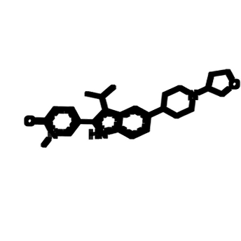 CC(C)c1c(-c2ccc(=O)n(C)c2)[nH]c2ccc(C3CCN(C4CCOC4)CC3)cc12